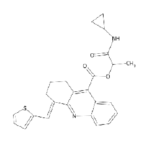 CC(OC(=O)c1c2c(nc3ccccc13)/C(=C/c1cccs1)CCC2)C(=O)NC1CC1